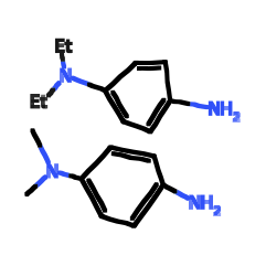 CCN(CC)c1ccc(N)cc1.CN(C)c1ccc(N)cc1